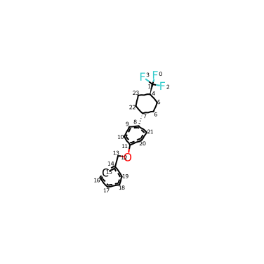 FC(F)(F)[C@H]1CC[C@H](c2ccc(OCc3ccccc3)cc2)CC1